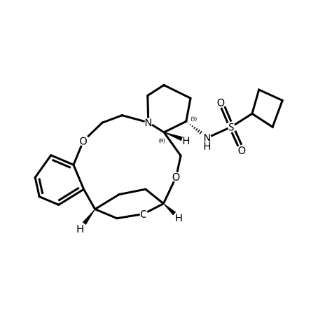 O=S(=O)(N[C@H]1CCCN2CCOc3ccccc3[C@H]3CC[C@H](CC3)OC[C@@H]12)C1CCC1